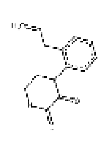 C=CCc1ccccc1C1CC[N]C(=O)C1=O